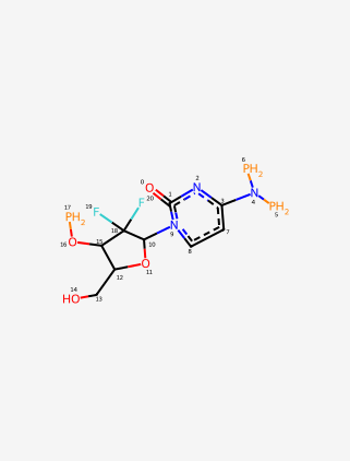 O=c1nc(N(P)P)ccn1C1OC(CO)C(OP)C1(F)F